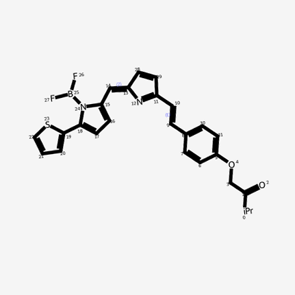 CC(C)C(=O)COc1ccc(/C=C/C2=NC(=C\c3ccc(-c4cccs4)n3B(F)F)/C=C2)cc1